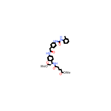 COC(=O)CCCC(=O)N[C@H](CC(=O)OC)c1ccc(NC(=O)Cc2ccc(NC(=O)Nc3ccccc3C)cc2)cc1